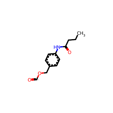 CCCC(=O)Nc1ccc(CO[C]=O)cc1